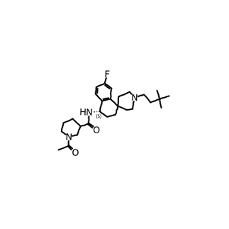 CC(=O)N1CCCC(C(=O)N[C@H]2CCC3(CCN(CCC(C)(C)C)CC3)c3cc(F)ccc32)C1